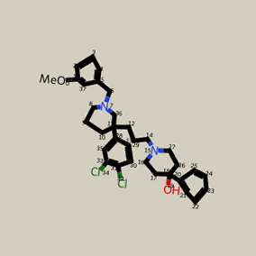 COc1cccc(CN2CCCC(CCCN3CCC(O)(c4ccccc4)CC3)(c3ccc(Cl)c(Cl)c3)C2)c1